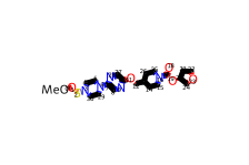 COOSN1CCN(c2cnc(OCC3CCN(C(=O)O[C@H]4CCOC4)CC3)cn2)CC1